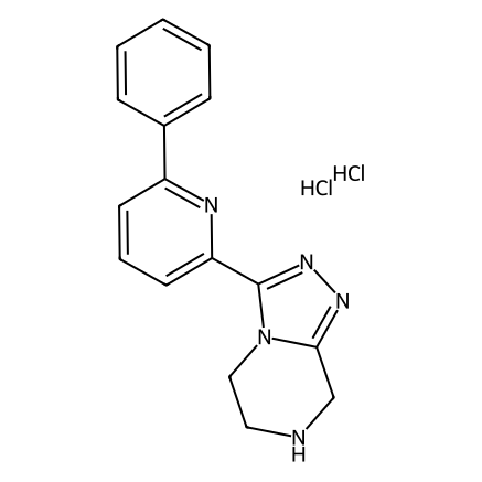 Cl.Cl.c1ccc(-c2cccc(-c3nnc4n3CCNC4)n2)cc1